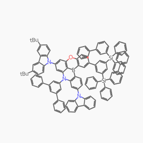 CC(C)(C)c1ccc2c(c1)c1cc(C(C)(C)C)ccc1n2-c1cc2c3c(c1)N(c1cc(-c4ccccc4)cc(-c4ccccc4)c1)c1cc(-n4c5ccccc5c5ccccc54)ccc1B3c1cc(-c3cc([Si](c4ccccc4)(c4ccccc4)c4cccc(-c5ccccc5)c4)cc([Si](c4ccccc4)(c4ccccc4)c4cccc(-c5ccccc5)c4)c3)ccc1O2